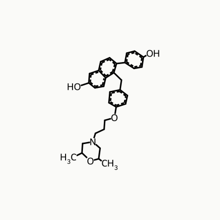 CC1CN(CCCOc2ccc(Cc3c(-c4ccc(O)cc4)ccc4cc(O)ccc34)cc2)CC(C)O1